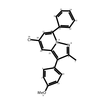 COc1ccc(-c2c(C)nn3c(-c4ccccc4)cc(Cl)cc23)cc1